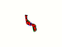 Fc1c(-c2ncc(-c3ccc(OC(F)(F)C(F)(F)C(F)(F)C(F)(F)C(F)(F)C(F)(F)C(F)(F)F)cc3)cn2)ccc2c1C(F)(F)C(CCCCCCCCCC1CC1)O2